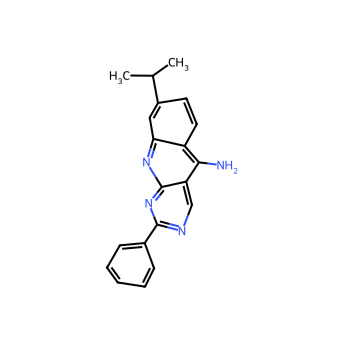 CC(C)c1ccc2c(N)c3cnc(-c4ccccc4)nc3nc2c1